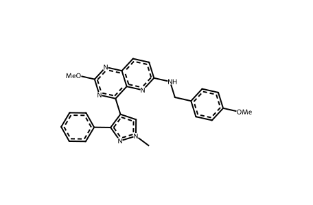 COc1ccc(CNc2ccc3nc(OC)nc(-c4cn(C)nc4-c4ccccc4)c3n2)cc1